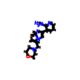 Nc1ncccc1-c1cn2c(CN3CCOCC3)csc2n1